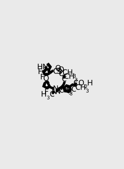 Cn1nc2nc1-c1cc(ccc1F)Oc1c(F)c(F)c3[nH]ccc3c1CCS(=O)(=O)CC(C)(C)CCC[C@]2(C)c1cccc(CC(C)(C)C(=O)O)c1